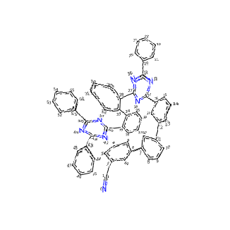 N#Cc1cccc(-c2cccc(-c3cccc(-c4nc(-c5ccccc5)nc(-c5ccccc5-c5ccccc5-c5nc(-c6ccccc6)nc(-c6ccccc6)n5)n4)c3)c2)c1